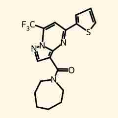 O=C(c1cnn2c(C(F)(F)F)cc(-c3cccs3)nc12)N1CCCCCC1